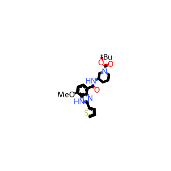 COc1ccc(C(=O)NC2CCCN(C(=O)OC(C)(C)C)C2)c2nc(-c3cccs3)[nH]c12